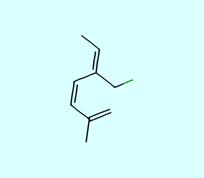 C=C(C)/C=C\C(=C/C)CF